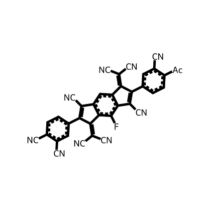 CC(=O)c1ccc(C2=C(C#N)c3c(cc4c(c3F)C(=C(C#N)C#N)C(c3ccc(C#N)c(C#N)c3)=C4C#N)C2=C(C#N)C#N)cc1C#N